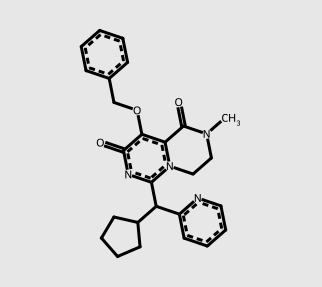 CN1CCn2c(C(c3ccccn3)C3CCCC3)nc(=O)c(OCc3ccccc3)c2C1=O